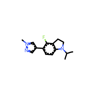 CC(C)N1CCc2c1ccc(-c1cnn(C)c1)c2F